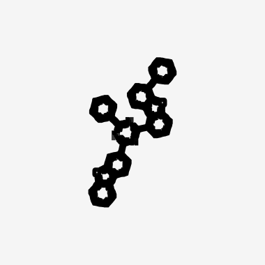 c1ccc(-c2nc(-c3ccc4c(c3)oc3ccccc34)nc(-c3cccc4oc5c(-c6ccccc6)cccc5c34)n2)cc1